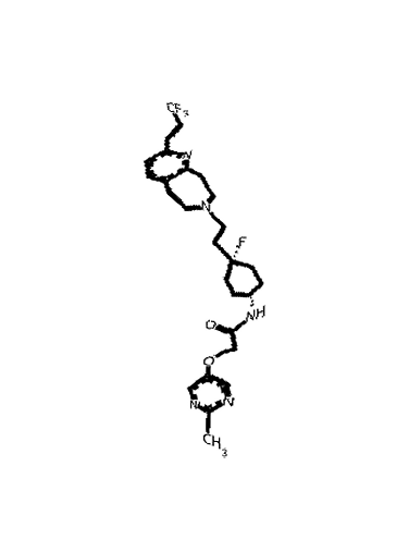 Cc1ncc(OCC(=O)N[C@H]2CC[C@](F)(CCN3CCc4ccc(CCC(F)(F)F)nc4CC3)CC2)cn1